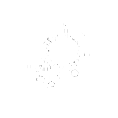 Cc1ccc(C(=O)N[C@H](C(=O)N[C@H](CO)C(=O)N[C@H]2CCNC(=O)[C@H]([C@@H](C)O)NC(=O)[C@H](CCN)NC(=O)[C@H](CCN)NC(=O)[C@H](CC(C)C)NC(=O)[C@@H](Cc3ccccc3)NC(=O)[C@H](CCN)NC2=O)[C@@H](C)O)o1